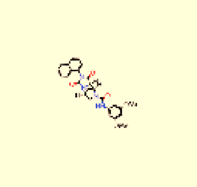 COc1cc(NC(=O)N2C[C@@H]3C[C@H]2[C@H]2C(=O)N(c4cccc5ccccc45)C(=O)N32)cc(OC)c1